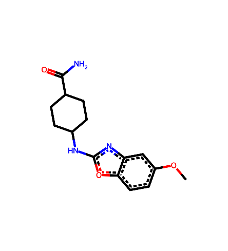 COc1ccc2oc(NC3CCC(C(N)=O)CC3)nc2c1